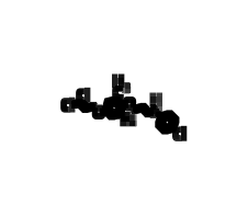 CCc1cc(OCC=C(Cl)Cl)cc(C)c1OCCCNc1ccc(Cl)cc1